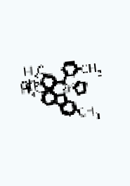 Cc1cccc([C](c2cccc(C)c2)=[Zr+2]([C]2=CC=CC2)[CH]2c3cc(C)ccc3-c3ccc(C)cc32)c1.[Cl-].[Cl-]